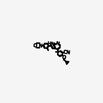 Cc1cc(N2CCOCC2)ccc1C1=CC2=CC(N=CC=C2C2(C)C=C(C#N)C(OCC3CC3)=CC2)N1